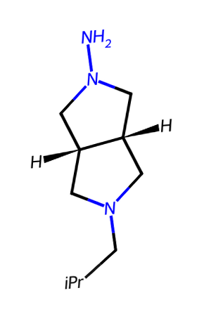 CC(C)CN1C[C@H]2CN(N)C[C@H]2C1